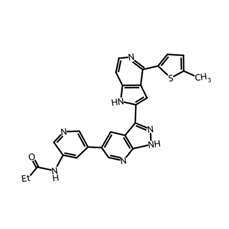 CCC(=O)Nc1cncc(-c2cnc3[nH]nc(-c4cc5c(-c6ccc(C)s6)nccc5[nH]4)c3c2)c1